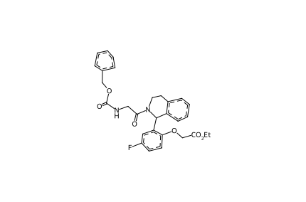 CCOC(=O)COc1ccc(F)cc1C1c2ccccc2CCN1C(=O)CNC(=O)OCc1ccccc1